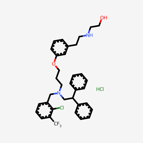 Cl.OCCNCCc1cccc(OCCCN(Cc2cccc(C(F)(F)F)c2Cl)CC(c2ccccc2)c2ccccc2)c1